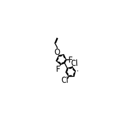 C=CCOc1cc(F)c(-c2cc(Cl)c[c]c2Cl)c(F)c1